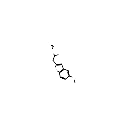 COc1ccc2oc(CC(F)OC=O)cc2c1